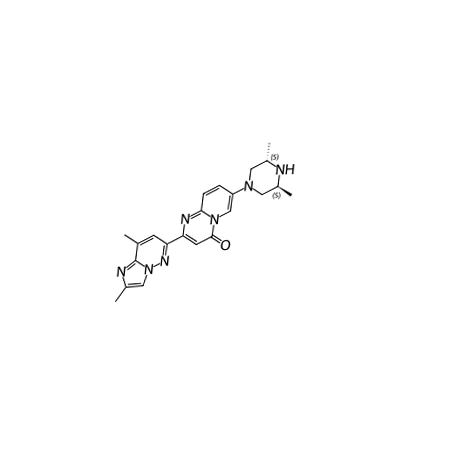 Cc1cn2nc(-c3cc(=O)n4cc(N5C[C@H](C)N[C@@H](C)C5)ccc4n3)cc(C)c2n1